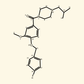 COc1cc(C(=O)N2CCN(CC(C)C)CC2)ccc1OCc1ccc(F)cc1